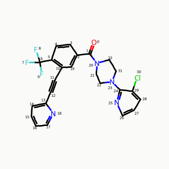 O=C(c1ccc(C(F)(F)F)c(C#Cc2ccccn2)c1)N1CCN(c2ncccc2Cl)CC1